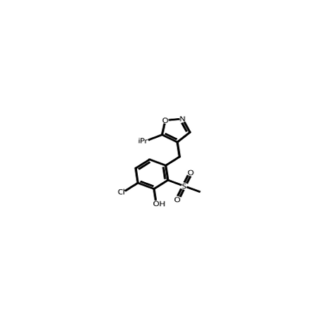 CC(C)c1oncc1Cc1ccc(Cl)c(O)c1S(C)(=O)=O